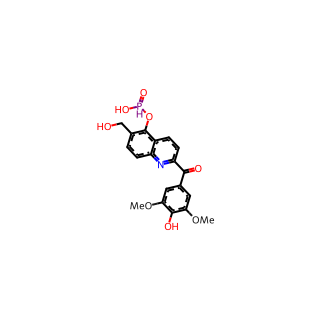 COc1cc(C(=O)c2ccc3c(O[PH](=O)O)c(CO)ccc3n2)cc(OC)c1O